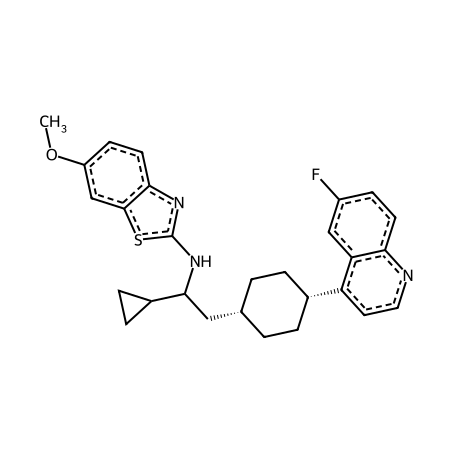 COc1ccc2nc(NC(C[C@H]3CC[C@@H](c4ccnc5ccc(F)cc54)CC3)C3CC3)sc2c1